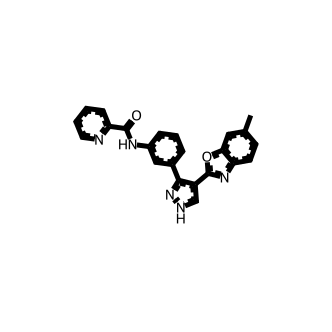 Cc1ccc2nc(-c3c[nH]nc3-c3cccc(NC(=O)c4ccccn4)c3)oc2c1